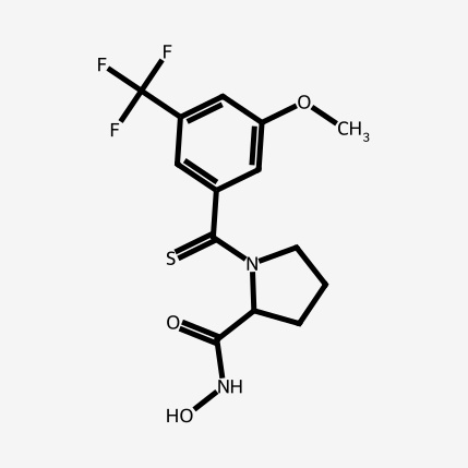 COc1cc(C(=S)N2CCCC2C(=O)NO)cc(C(F)(F)F)c1